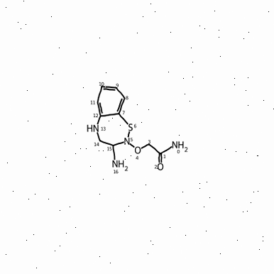 NC(=O)CON1Sc2ccccc2NCC1N